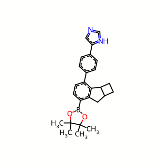 CC1(C)OB(c2ccc(-c3ccc(-c4cnc[nH]4)cc3)c3c2CC2CCC32)OC1(C)C